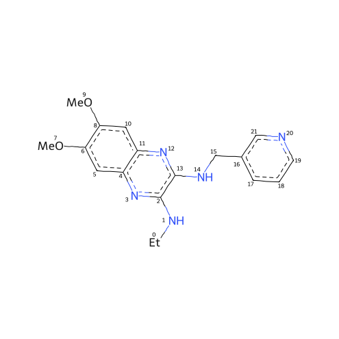 CCNc1nc2cc(OC)c(OC)cc2nc1NCc1cccnc1